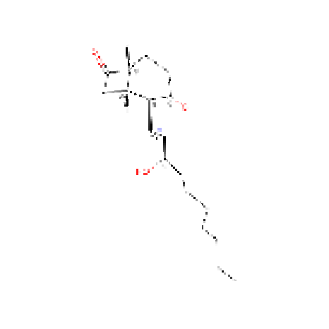 CCCCCCC[C@H](O)/C=C/[C@@H]1[C@@H](O)CC[C@@]2(C)C(=O)C[C@@H]12